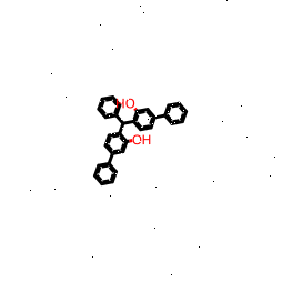 Oc1cc(-c2ccccc2)ccc1C(c1ccccc1)c1ccc(-c2ccccc2)cc1O